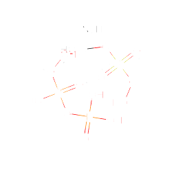 O=P(O)(O)OP(=O)(O)OO.O=S(=O)(O)OS(=O)(=O)OO.[NaH]